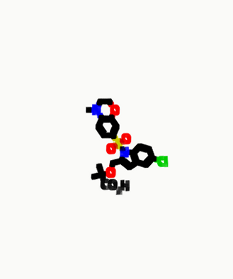 CN1CCOc2cc(S(=O)(=O)n3c(COC(C)(C)C(=O)O)cc4cc(Cl)ccc43)ccc21